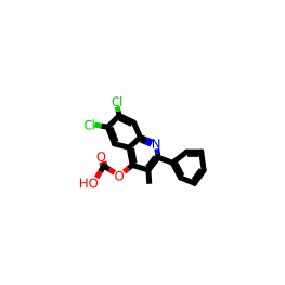 Cc1c(-c2ccccc2)nc2cc(Cl)c(Cl)cc2c1OC(=O)O